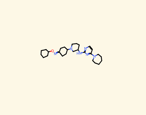 c1cc(N2CCCCCC2)nc(NC2CCCN(C3CCC(=NOC4CCCCC4)CC3)C2)n1